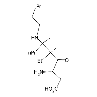 CCCC(C)(NCCC(C)C)C(C)(CC)C(=O)[C@@H](N)CC(=O)O